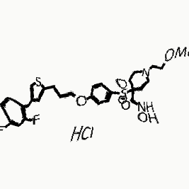 COCCN1CCC(C(=O)NO)(S(=O)(=O)c2ccc(OCCCc3cc(-c4ccc(F)cc4F)cs3)cc2)CC1.Cl